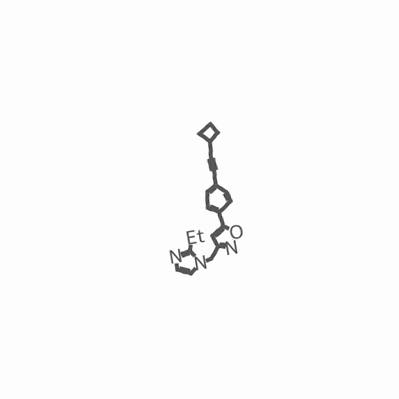 CCc1nccn1Cc1cc(-c2ccc(C#CC3CCC3)cc2)on1